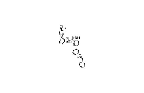 CN1CCN(c2cncc3[nH]c(-c4n[nH]c5ccc(-c6cncc(CNCc7ccccc7)c6)nc45)nc23)CC1